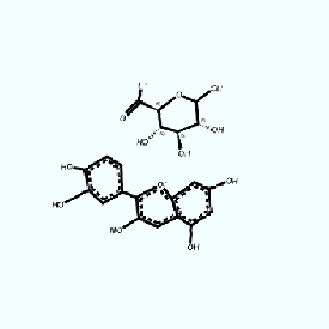 O=C([O-])[C@H]1OC(O)[C@H](O)[C@@H](O)[C@@H]1O.Oc1cc(O)c2cc(O)c(-c3ccc(O)c(O)c3)[o+]c2c1